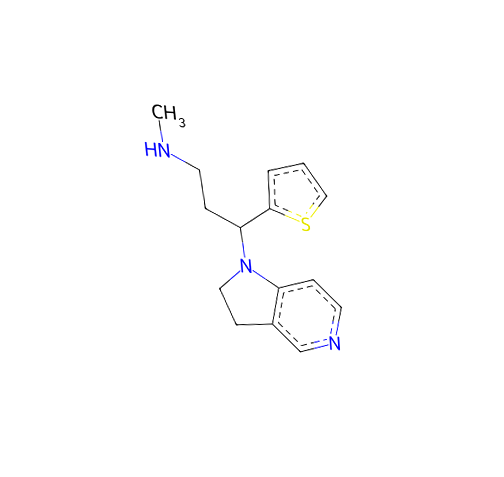 CNCCC(c1cccs1)N1CCc2cnccc21